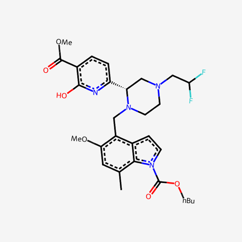 CCCCOC(=O)n1ccc2c(CN3CCN(CC(F)F)C[C@H]3c3ccc(C(=O)OC)c(O)n3)c(OC)cc(C)c21